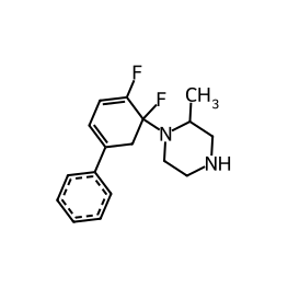 CC1CNCCN1C1(F)CC(c2ccccc2)=CC=C1F